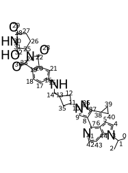 CC(C)n1ccc2c(-c3cn([C@H]4C[C@H](CNc5ccc6c(c5)C(=O)N(C5CCC(=O)NC5O)C6=O)C4)nc3C3CC3)nccc21